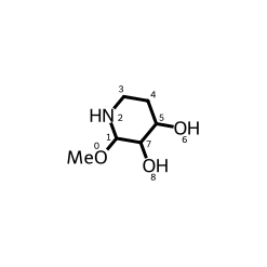 COC1NCCC(O)C1O